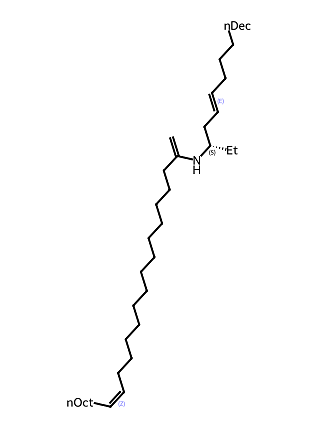 C=C(CCCCCCCCCCCCC/C=C\CCCCCCCC)N[C@@H](CC)C/C=C/CCCCCCCCCCCCC